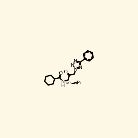 CC(C)C[C@H](NC(=O)C1CCCCC1)C(=O)Cn1nnc(-c2ccccc2)n1